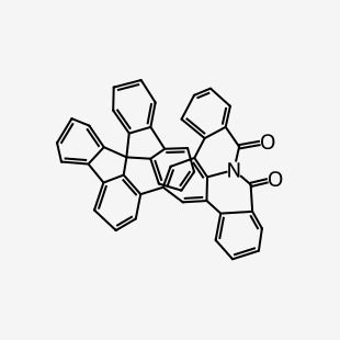 O=c1c2ccccc2c2cc(-c3cccc4c3C3(c5ccccc5-c5ccccc53)c3ccccc3-4)cc3c4ccccc4c(=O)n1c23